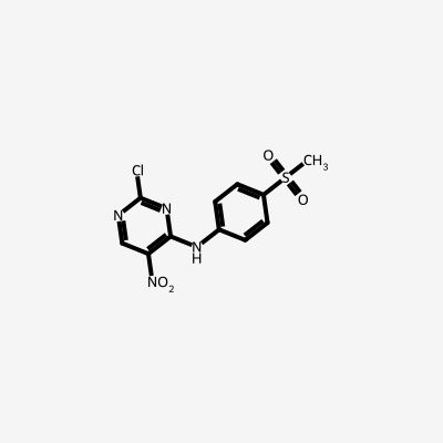 CS(=O)(=O)c1ccc(Nc2nc(Cl)ncc2[N+](=O)[O-])cc1